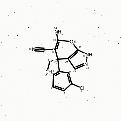 CC[C@]1(c2cccc(Cl)c2)C(C#N)=C(N)Oc2[nH]ncc21